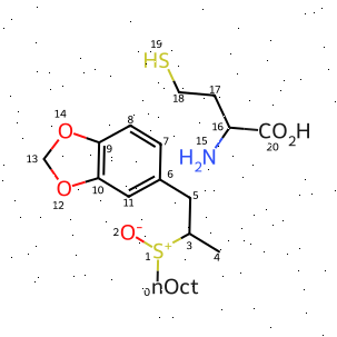 CCCCCCCC[S+]([O-])C(C)Cc1ccc2c(c1)OCO2.NC(CCS)C(=O)O